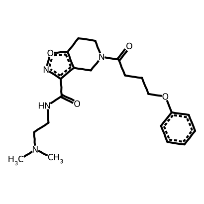 CN(C)CCNC(=O)c1noc2c1CN(C(=O)CCCOc1ccccc1)CC2